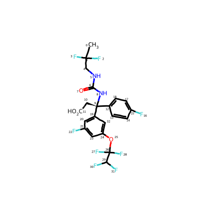 CC(F)(F)CNC(=O)N[C@](CC(=O)O)(c1ccc(F)cc1)c1cc(F)cc(OC(F)(F)C(F)F)c1